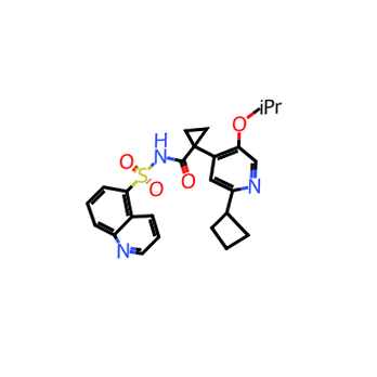 CC(C)Oc1cnc(C2CCC2)cc1C1(C(=O)NS(=O)(=O)c2cccc3ncccc23)CC1